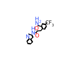 NC(=O)c1cc(C(F)(F)F)ccc1C[CH]C(=O)Nc1cnc2ccccc2c1